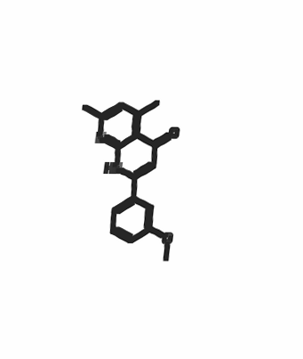 COc1cccc(-c2cc(=O)c3c(C)cc(C)nc3[nH]2)c1